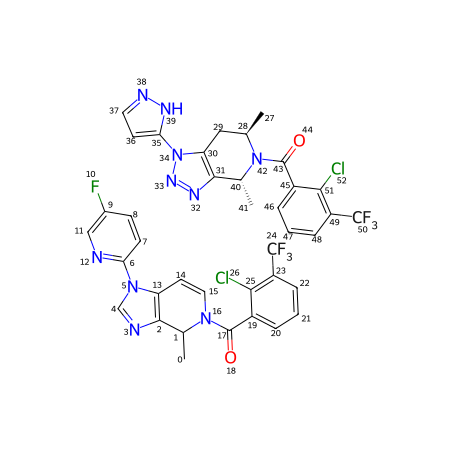 CC1c2ncn(-c3ccc(F)cn3)c2C=CN1C(=O)c1cccc(C(F)(F)F)c1Cl.C[C@@H]1Cc2c(nnn2-c2ccn[nH]2)[C@@H](C)N1C(=O)c1cccc(C(F)(F)F)c1Cl